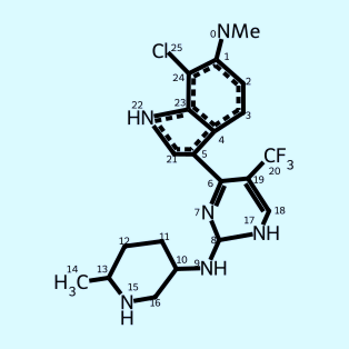 CNc1ccc2c(C3=NC(NC4CCC(C)NC4)NC=C3C(F)(F)F)c[nH]c2c1Cl